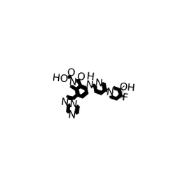 O=C(O)N1Cc2c(-c3cnc4cnccn34)ccc(Nc3ccc(N4CC[C@H](F)[C@@H](O)C4)cn3)c2C1=O